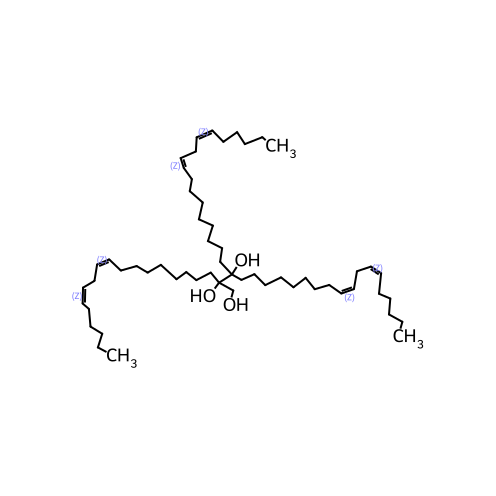 CCCCC/C=C\C/C=C\CCCCCCCCC(O)(CO)C(O)(CCCCCCCC/C=C\C/C=C\CCCCC)CCCCCCCC/C=C\C/C=C\CCCCC